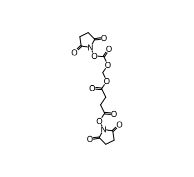 O=C(CCC(=O)ON1C(=O)CCC1=O)OCOC(=O)ON1C(=O)CCC1=O